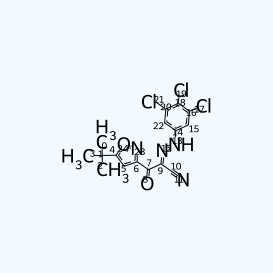 CC(C)(C)c1cc(C(=O)/C(C#N)=N/Nc2cc(Cl)c(Cl)c(Cl)c2)no1